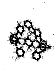 Cc1ccc2c(c1)c1ccc3c4ccccc4sc3c1n2-c1c(C#N)c(-n2c3ccccc3c3cc(C(F)(F)F)ccc32)c(-n2c3ccccc3c3cc(C(F)(F)F)ccc32)c(C#N)c1-n1c2ccccc2c2cc(C(F)(F)F)ccc21